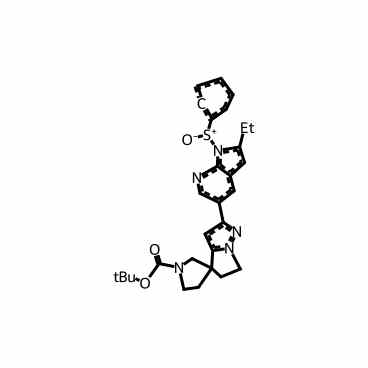 CCc1cc2cc(-c3cc4n(n3)CCC43CCN(C(=O)OC(C)(C)C)C3)cnc2n1[S+]([O-])c1ccccc1